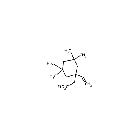 C=CC1(CC(=O)OCC)CC(C)(C)CC(C)(C)C1